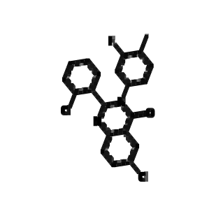 Cc1ccc(-n2c(-c3ccccc3Cl)nc3ccc(Cl)cc3c2=O)cc1F